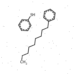 CCCCCCCCCc1ccccc1.Sc1ccccc1